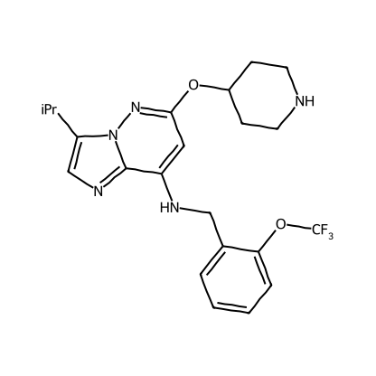 CC(C)c1cnc2c(NCc3ccccc3OC(F)(F)F)cc(OC3CCNCC3)nn12